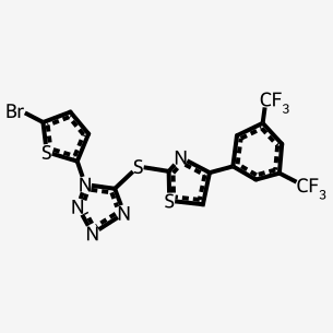 FC(F)(F)c1cc(-c2csc(Sc3nnnn3-c3ccc(Br)s3)n2)cc(C(F)(F)F)c1